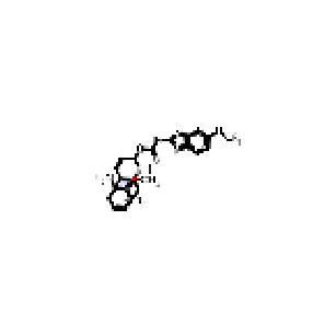 C/C=C1\[C@@H]2C=CCC1(N)C1=C(C2)NC(OC(=O)Nc2nc3ccc(OC(F)(F)F)cc3s2)C=C1